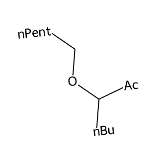 CCCCCCOC(CCCC)C(C)=O